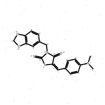 CN(C)c1ccc(/C=C2/SC(=S)N(Cc3ccc4c(c3)OCO4)C2=O)cc1